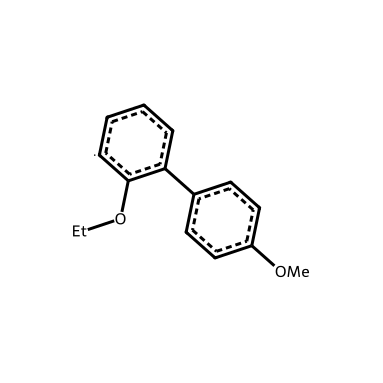 CCOc1[c]cccc1-c1ccc(OC)cc1